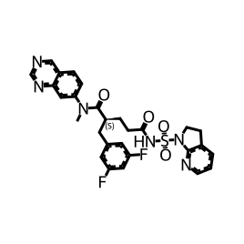 CN(C(=O)[C@@H](CCC(=O)NS(=O)(=O)N1CCc2cccnc21)Cc1cc(F)cc(F)c1)c1ccc2cncnc2c1